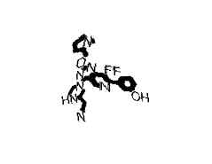 CN1CCCC1COc1nc(N2CCNC(CC#N)C2)c2cnc(-c3cc(O)ccc3F)c(F)c2n1